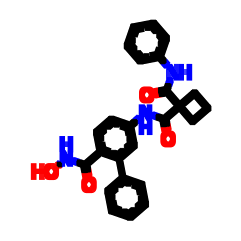 O=C(NO)c1ccc(NC(=O)C2(C(=O)Nc3ccccc3)CCC2)cc1-c1ccccc1